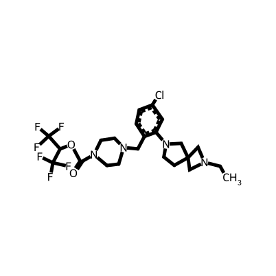 CCN1CC2(CCN(c3cc(Cl)ccc3CN3CCN(C(=O)OC(C(F)(F)F)C(F)(F)F)CC3)C2)C1